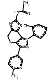 CC(=O)Nc1nc2c(s1)-c1c(c(-c3ccc(C)nc3)nn1-c1ccccc1Cl)SC2